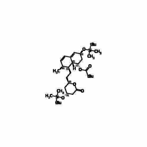 C[C@H]1C=CC2=C[C@@H](O[Si](C)(C)C(C)(C)C)C[C@H](OC(=O)C(C)(C)C)[C@@H]2[C@H]1CC[C@@H]1C[C@@H](O[Si](C)(C)C(C)(C)C)CC(=O)O1